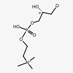 C[N+](C)(C)CCOP(=O)(O)OC[C@H](O)C[O]